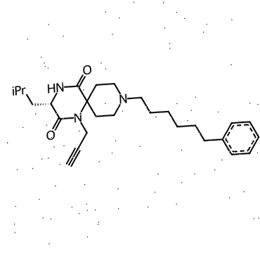 C#CCN1C(=O)[C@H](CC(C)C)NC(=O)C12CCN(CCCCCCc1ccccc1)CC2